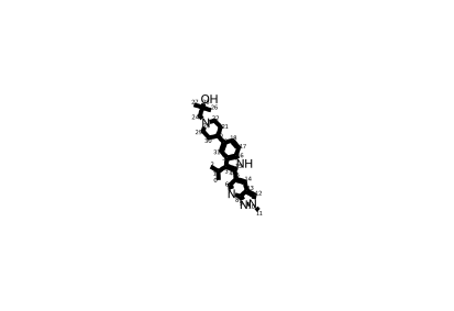 CC(C)c1c(-c2cnc3nn(C)cc3c2)[nH]c2ccc(C3CCN(CC(C)(C)O)CC3)cc12